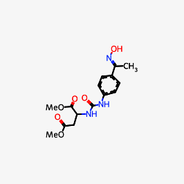 COC(=O)CC(NC(=O)Nc1ccc(C(C)=NO)cc1)C(=O)OC